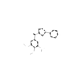 COc1cc(C(=O)c2csc(-c3ccccc3)c2)cc(OC)c1OC